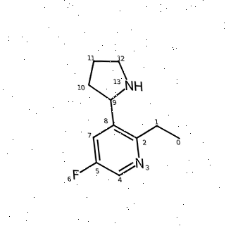 CCc1ncc(F)cc1C1CCCN1